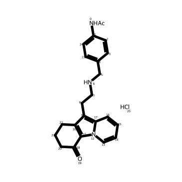 CC(=O)Nc1ccc(CNCCc2c3c(n4ccccc24)C(=O)CCC3)cc1.Cl